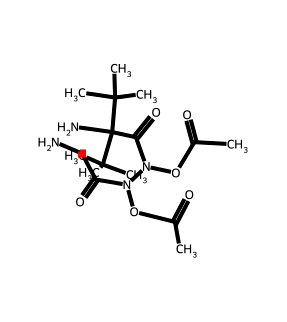 CC(=O)ON(C(=O)CN)N(OC(C)=O)C(=O)C(N)(C(C)(C)C)C(C)(C)C